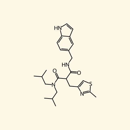 Cc1nc(CC(C(=O)NCc2ccc3[nH]ccc3c2)C(=O)N(CC(C)C)CC(C)C)cs1